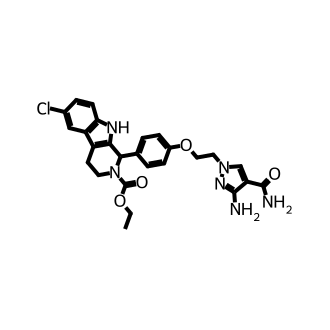 CCOC(=O)N1CCc2c([nH]c3ccc(Cl)cc23)C1c1ccc(OCCn2cc(C(N)=O)c(N)n2)cc1